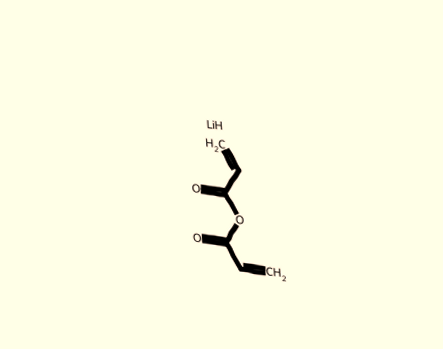 C=CC(=O)OC(=O)C=C.[LiH]